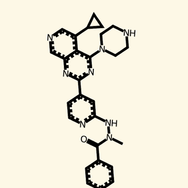 CN(Nc1cc(-c2nc(N3CCNCC3)c3c(C4CC4)cncc3n2)ccn1)C(=O)c1ccccc1